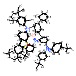 Cc1cc2c(cc1N1c3cc(-c4c(C)cccc4C)cc4c3B(c3c1ccc1c3sc3cc5c(cc31)C(C)(C)CCC5(C)C)N(c1ccc(C(C)(C)C)cc1)c1cc(N(c3ccc(C(C)(C)C)cc3)c3ccc(C(C)(C)C)cc3)ccc1-4)C(C)(C)CCC2(C)C